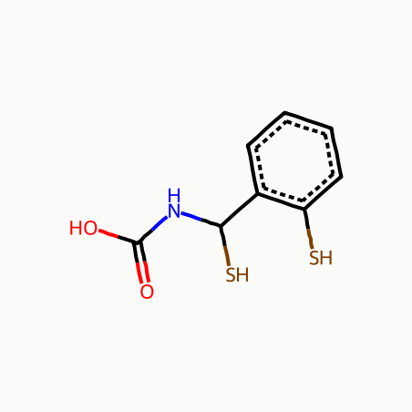 O=C(O)NC(S)c1ccccc1S